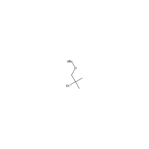 CCCCOCC(C)(C)CC